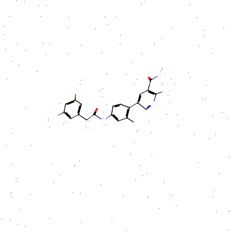 CNc1ncc(-c2ccc(NC(=O)[C@H](O)c3cc(F)cc(F)c3)cc2C)cc1C(=O)NC(C)C